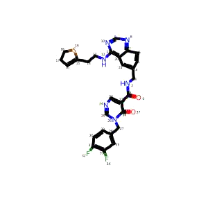 O=C(NCc1ccc2ncnc(NCCC3=CCCS3)c2c1)c1cncn(Cc2ccc(F)c(F)c2)c1=O